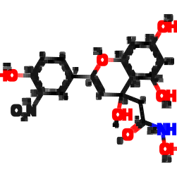 O=C(CC1(O)C=C(c2ccc(O)c([N+](=O)[O-])c2)Oc2cc(O)cc(O)c21)NO